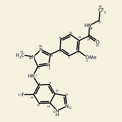 COc1cc(-c2nc(Nc3cc4cn[nH]c4cc3F)n(C)n2)ccc1C(=O)NCC(F)(F)F